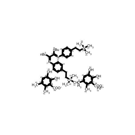 CCCCC(=Nc1ccc(CC[Si](C)(C)C)cc1)C(CCCC)=Nc1ccc(CC[Si](C)(C)C)cc1.Cc1cc(O)c(O)c(C(=O)[O-])c1C.Cc1cc(O)c(O)c(C(=O)[O-])c1C.[Pd+2]